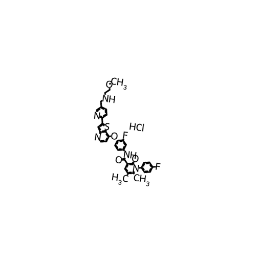 COCCNCc1ccc(-c2cc3nccc(Oc4ccc(NC(=O)c5cc(C)c(C)n(-c6ccc(F)cc6)c5=O)cc4F)c3s2)nc1.Cl